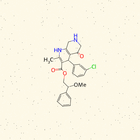 COC(COC(=O)C1=C(C)NC2=C(C(=O)CNC2)C1c1cccc(Cl)c1)c1ccccc1